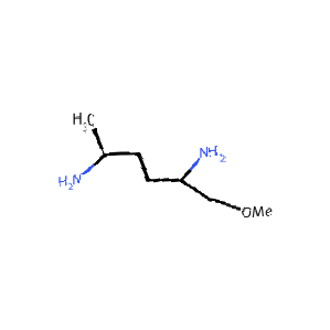 COCC(N)CC[C@H](C)N